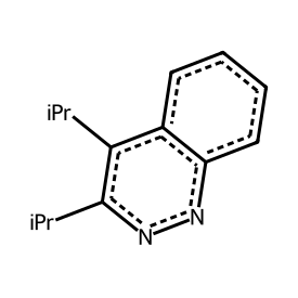 CC(C)c1nnc2ccccc2c1C(C)C